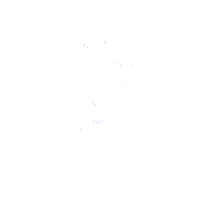 O=C(Nc1ccc(F)c(C(F)(F)F)c1)n1ccc2cc(Oc3cc(CN4CCCCC4)ncn3)ccc21